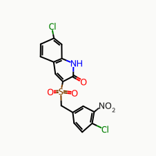 O=c1[nH]c2cc(Cl)ccc2cc1S(=O)(=O)Cc1ccc(Cl)c([N+](=O)[O-])c1